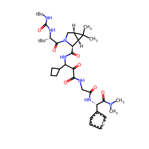 CN(C)C(=O)[C@@H](NC(=O)CNC(=O)C(=O)C(NC(=O)[C@@H]1[C@@H]2[C@H](CN1C(=O)[C@@H](NC(=O)NC(C)(C)C)C(C)(C)C)C2(C)C)C1CCC1)c1ccccc1